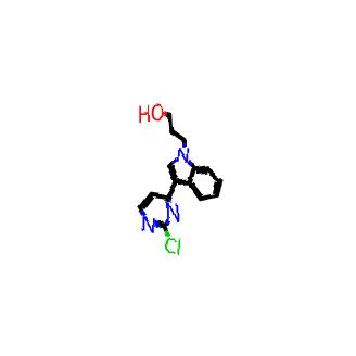 OCCCn1cc(-c2ccnc(Cl)n2)c2ccccc21